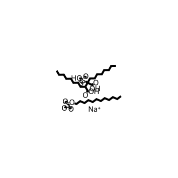 CCCCCCCCC(C(=O)O)C(CCCCCCCC)(C(=O)O)S(=O)(=O)O.CCCCCCCCCCCCOS(=O)(=O)[O-].[Na+]